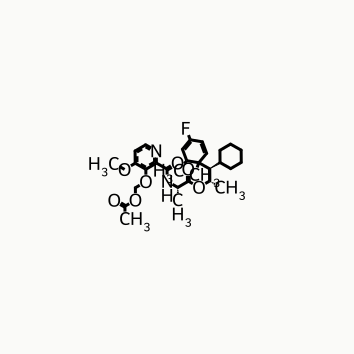 COc1ccnc(C(=O)N[C@@H](C)C(=O)O[C@@H](C)[C@H](C2CCCCC2)C2(C)C=CC(F)=CC2C)c1OCOC(C)=O